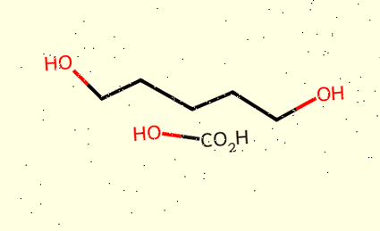 O=C(O)O.OCCCCCO